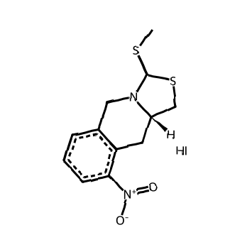 CSC1SC[C@@H]2Cc3c(cccc3[N+](=O)[O-])CN12.I